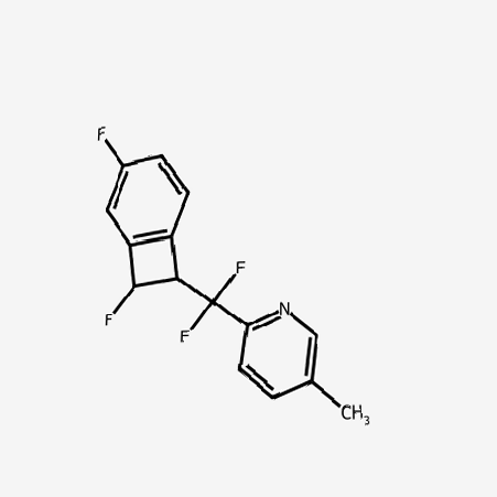 Cc1ccc(C(F)(F)C2c3ccc(F)cc3C2F)nc1